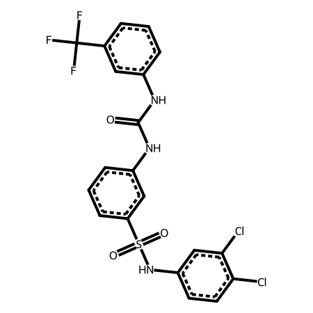 O=C(Nc1cccc(C(F)(F)F)c1)Nc1cccc(S(=O)(=O)Nc2ccc(Cl)c(Cl)c2)c1